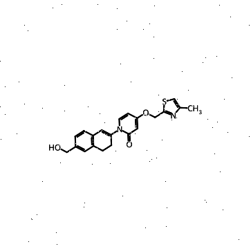 Cc1csc(COc2ccn(C3=Cc4ccc(CO)cc4CC3)c(=O)c2)n1